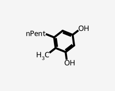 CCCCCc1cc(O)cc(O)c1C